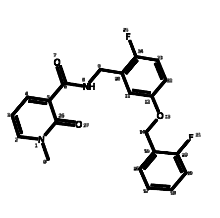 Cn1cccc(C(=O)NCc2cc(OCc3ccccc3F)ccc2F)c1=O